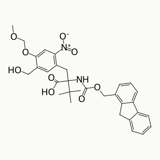 COCOc1cc([N+](=O)[O-])c(CC(NC(=O)OCc2cccc3c2Cc2ccccc2-3)(C(=O)O)C(C)(C)C)cc1CO